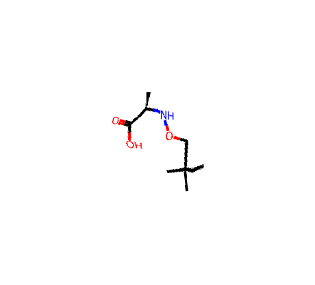 C[C@@H](NOCC(C)(C)C)C(=O)O